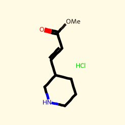 COC(=O)/C=C/C1CCCNC1.Cl